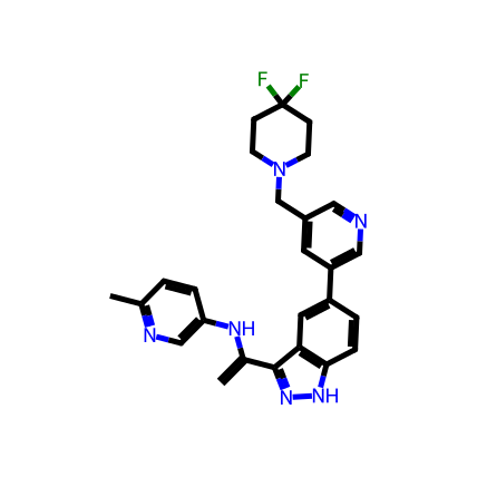 C=C(Nc1ccc(C)nc1)c1n[nH]c2ccc(-c3cncc(CN4CCC(F)(F)CC4)c3)cc12